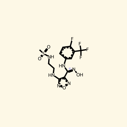 CS(=O)(=O)NCCNc1nonc1/C(=N\O)Nc1ccc(F)c(C(F)(F)F)c1